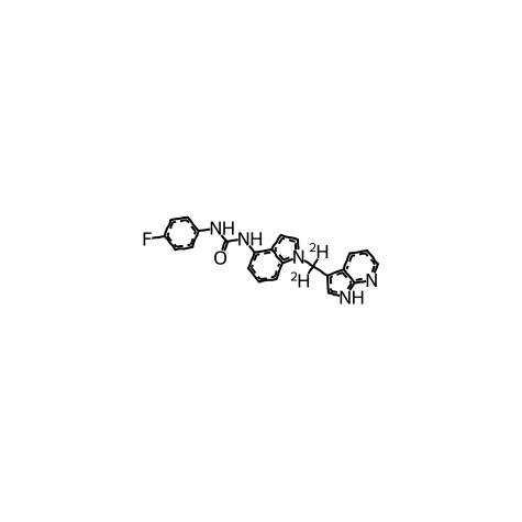 [2H]C([2H])(c1c[nH]c2ncccc12)n1ccc2c(NC(=O)Nc3ccc(F)cc3)cccc21